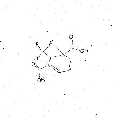 CC1(C(=O)O)C=CC=C(C(=O)O)C1C(F)(F)Cl